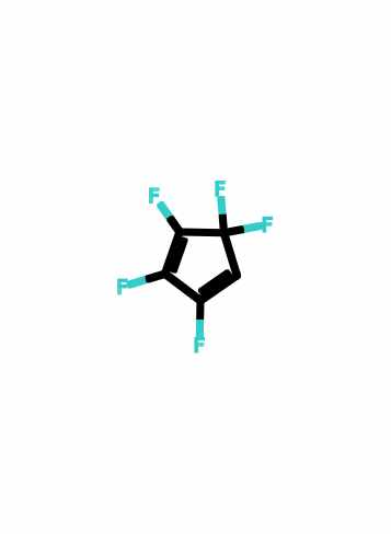 FC1=CC(F)(F)C(F)=C1F